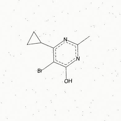 Cc1nc(O)c(Br)c(C2CC2)n1